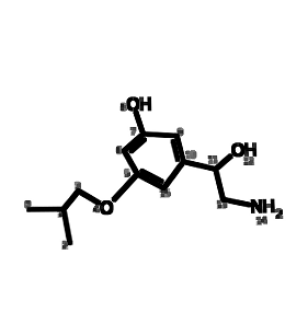 CC(C)COc1cc(O)cc(C(O)CN)c1